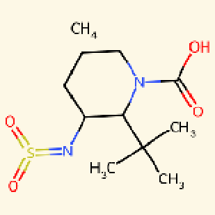 C.CC(C)(C)C1C(N=S(=O)=O)CCCN1C(=O)O